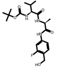 CC(C)[C@H](NC(=O)OC(C)(C)C)C(=O)N[C@@H](C)C(=O)Nc1ccc(CO)c(F)c1